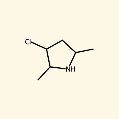 CC1CC(Cl)C(C)N1